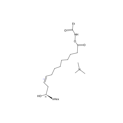 CCCCCC[C@@H](O)C/C=C\CCCCCCCC(=O)ONC(=O)CC.CN(C)C